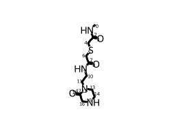 CNC(=O)CSCC(=O)NCCN1CCNCC1=O